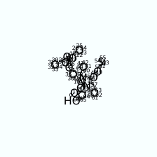 COc1cc(CN2C(=O)N(Cc3ccc(OCP(=O)(OCc4ccccc4)OCc4ccccc4)cc3)N(Cc3ccccc3)CC(OCOCC[Si](C)(C)C)C2Cc2ccccc2)ccc1O